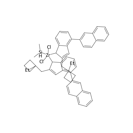 CCC1(CC2=Cc3c(-c4ccc5ccccc5c4)cccc3[CH]2[Zr]([Cl])([Cl])([CH]2C(CC3(CC)CCC3)=Cc3c(-c4ccc5ccccc5c4)cccc32)[SiH](C)C)CCC1